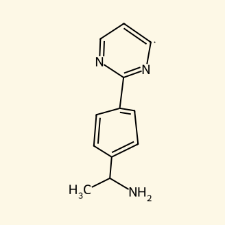 CC(N)c1ccc(-c2n[c]ccn2)cc1